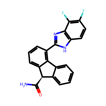 NC(=O)[C@@H]1c2ccccc2-c2c(-c3nc4c(F)c(F)ccc4[nH]3)cccc21